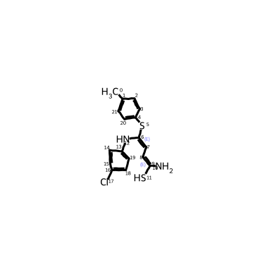 Cc1ccc(S/C(=C/C=C(\N)S)Nc2ccc(Cl)cc2)cc1